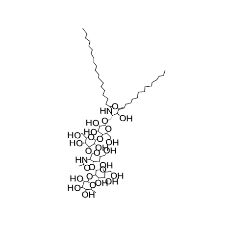 CCCCCCCCCCCCC/C=C/[C@@H](O)[C@H](CO[C@@H]1OC(CO)[C@@H](O[C@@H]2OC(CO)[C@H](O)[C@H](O[C@@H]3OC(CO)[C@@H](O)[C@H](O[C@@H]4OC(CO)[C@H](O)[C@H](O)C4O[C@H]4OC(C)[C@@H](O)C(O)[C@@H]4O)C3NC(C)=O)C2O)[C@H](O)C1O)NC(=O)CCCCCCCCCCCCCCCCCCC